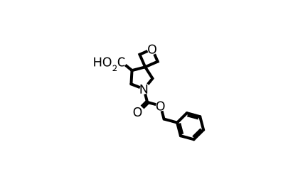 O=C(O)C1CN(C(=O)OCc2ccccc2)CC12COC2